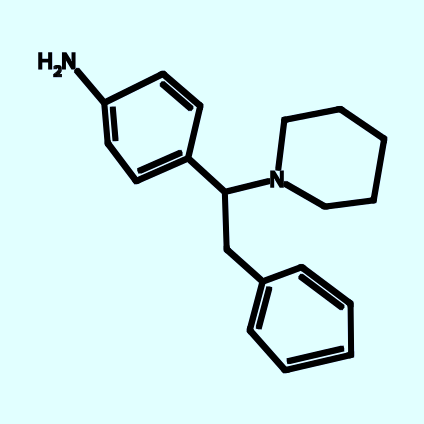 Nc1ccc(C(Cc2ccccc2)N2CCCCC2)cc1